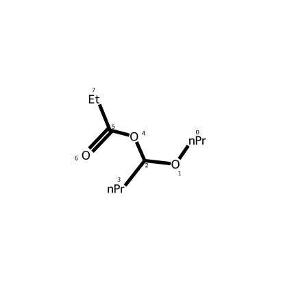 CCCOC(CCC)OC(=O)CC